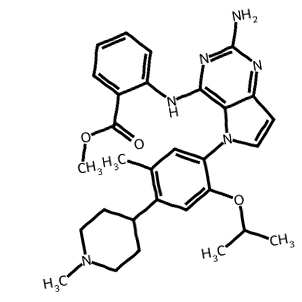 COC(=O)c1ccccc1Nc1nc(N)nc2ccn(-c3cc(C)c(C4CCN(C)CC4)cc3OC(C)C)c12